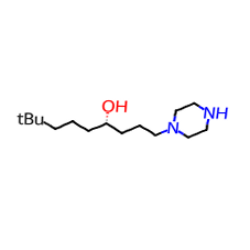 CC(C)(C)CCC[C@H](O)CCCN1CCNCC1